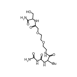 CCC(C)C(NC(=O)NC(N)=O)C(=O)NCCOCCOCC(=O)NC(CO)C(N)=O